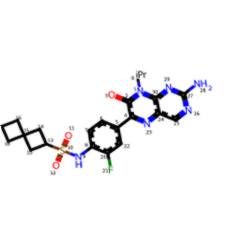 CC(C)n1c(=O)c(-c2ccc(NS(=O)(=O)C3CC4(CCC4)C3)c(F)c2)nc2cnc(N)nc21